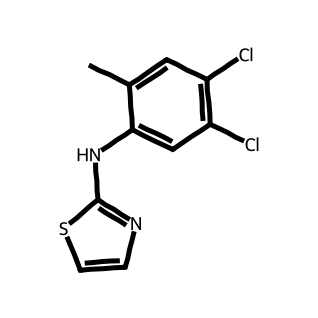 Cc1cc(Cl)c(Cl)cc1Nc1nccs1